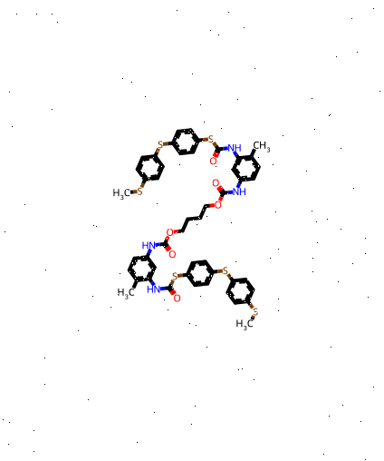 CSc1ccc(Sc2ccc(SC(=O)Nc3cc(NC(=O)OCCCCOC(=O)Nc4ccc(C)c(NC(=O)Sc5ccc(Sc6ccc(SC)cc6)cc5)c4)ccc3C)cc2)cc1